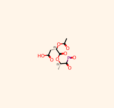 CC(=O)O[C@@H](CC(=O)O)C(=O)O[C@@H](C)C(=O)P=O